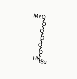 COCCOCCOCCOCCOCCOCCNC(C)(C)C